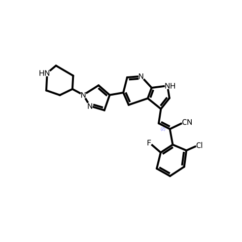 N#C/C(=C\c1c[nH]c2ncc(-c3cnn(C4CCNCC4)c3)cc12)c1c(F)cccc1Cl